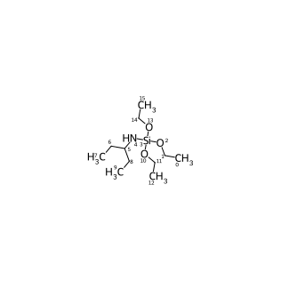 CCO[Si](NC(CC)CC)(OCC)OCC